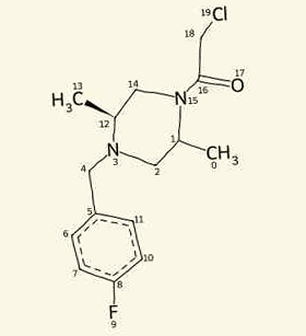 CC1CN(Cc2ccc(F)cc2)[C@@H](C)CN1C(=O)CCl